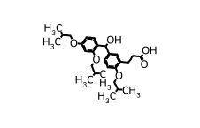 CC(C)COc1ccc(C(O)c2ccc(OCC(C)C)c(CCC(=O)O)c2)c(OCC(C)C)c1